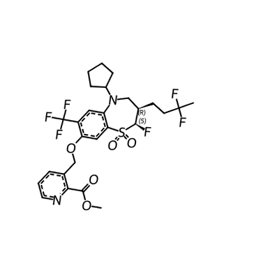 COC(=O)c1ncccc1COc1cc2c(cc1C(F)(F)F)N(C1CCCC1)C[C@@H](CCC(C)(F)F)[C@@H](F)S2(=O)=O